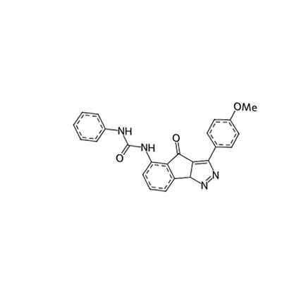 COc1ccc(C2=C3C(=O)c4c(NC(=O)Nc5ccccc5)cccc4C3N=N2)cc1